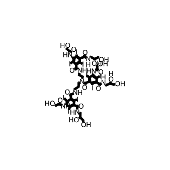 O=C(CO)Nc1c(I)c(C(=O)NCCCN(CCNC(=O)c2c(I)c(NC(=O)CO)c(I)c(C(=O)NCC(O)CO)c2I)C(=O)c2c(I)c(NC(=O)CO)c(I)c(C(=O)NCC(O)CO)c2I)c(I)c(C(=O)NCC(O)CO)c1I